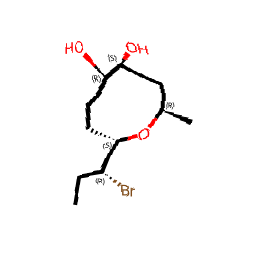 CC[C@@H](Br)[C@@H]1CC[C@@H](O)[C@@H](O)C[C@@H](C)O1